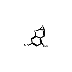 CC(=O)Oc1cc(OC(C)=O)c2c(c1)OC1OC1=C2